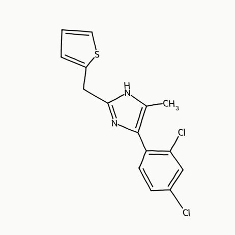 Cc1[nH]c(Cc2cccs2)nc1-c1ccc(Cl)cc1Cl